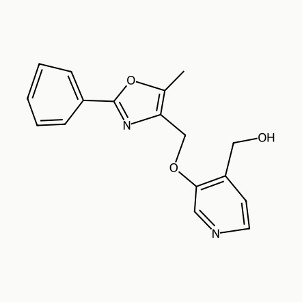 Cc1oc(-c2ccccc2)nc1COc1cnccc1CO